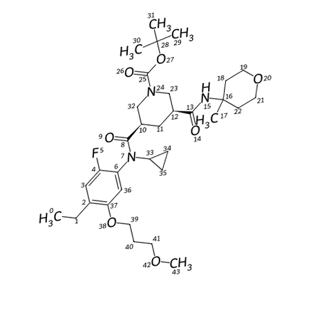 CCc1cc(F)c(N(C(=O)[C@@H]2C[C@H](C(=O)NC3(C)CCOCC3)CN(C(=O)OC(C)(C)C)C2)C2CC2)cc1OCCCOC